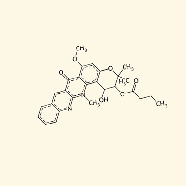 CCCC(=O)OC1C(O)c2c(cc(OC)c3c(=O)c4cc5ccccc5nc4n(C)c23)OC1(C)C